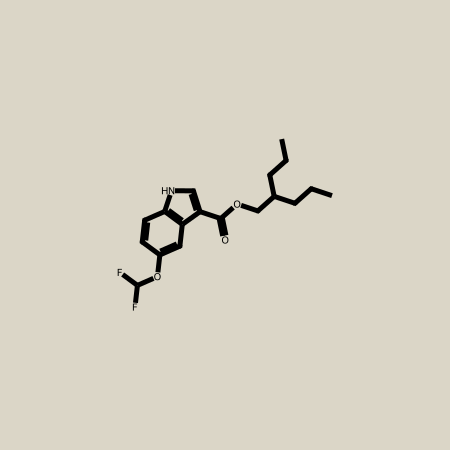 CCCC(CCC)COC(=O)c1c[nH]c2ccc(OC(F)F)cc12